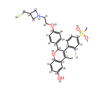 CC1=C(c2ccc(S(C)(=O)=O)cc2F)C(c2ccc(OCCN3CC(CF)C3)cc2)Oc2ccc(O)cc21